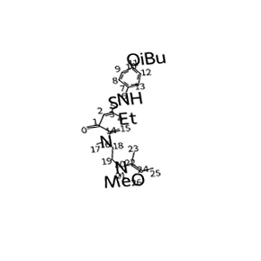 C=C(/C=C(\CC)SNc1ccc(OCC(C)C)cc1)C(=C)N(C)CCN(C)/C(C)=C(/C)OC